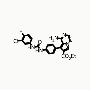 CCOC(=O)c1cn2ncnc(N)c2c1-c1ccc(NC(=O)Nc2ccc(F)c(Cl)c2)cc1